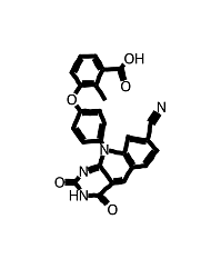 Cc1c(Oc2ccc(-n3c4nc(=O)[nH]c(=O)c-4cc4ccc(C#N)cc43)cc2)cccc1C(=O)O